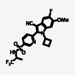 COc1cc2c(cc1F)c(C#N)c(-c1ccc(S(=O)(=O)N[C@@H](C)C(F)(F)F)cn1)n2C1CCC1